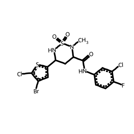 CN1C(C(=O)Nc2ccc(F)c(Cl)c2)CC(c2cc(Br)c(Cl)s2)NS1(=O)=O